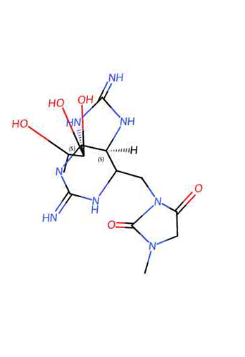 CN1CC(=O)N(CC2NC(=N)N3CC(O)C(O)(O)[C@@]34NC(=N)N[C@@H]24)C1=O